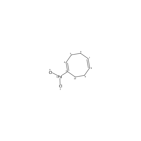 [Cl][Pd]([Cl])/[C]1=C/CC/C=C\CC1